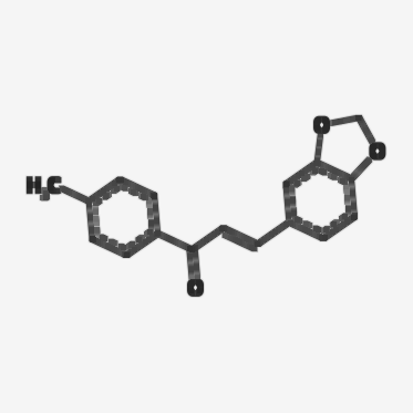 Cc1ccc(C(=O)C=Cc2ccc3c(c2)OCO3)cc1